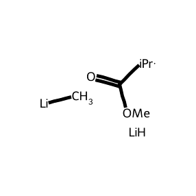 COC(=O)[C](C)C.[LiH].[Li][CH3]